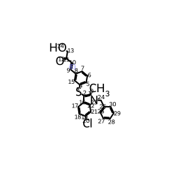 Cc1c(Sc2cccc(/C=C/C(=O)CO)c2)c2ccc(Cl)cc2n1Cc1ccccc1